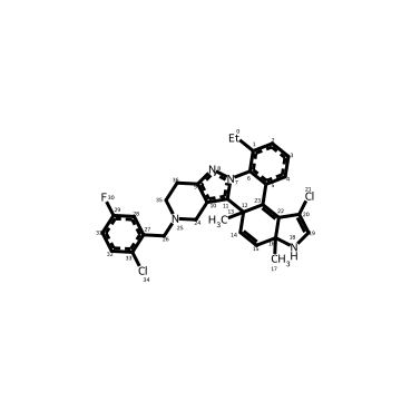 CCc1cccc2c1-n1nc3c(c1C1(C)C=CC4(C)NC=C(Cl)C4=C21)CN(Cc1cc(F)ccc1Cl)CC3